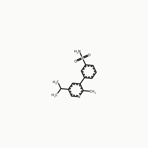 Cc1ncc(C(C)C)cc1-c1cccc(S(N)(=O)=O)c1